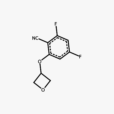 N#Cc1c(F)cc(F)cc1OC1COC1